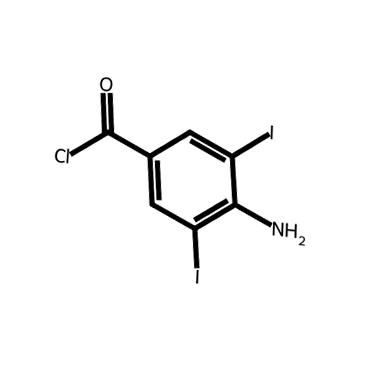 Nc1c(I)cc(C(=O)Cl)cc1I